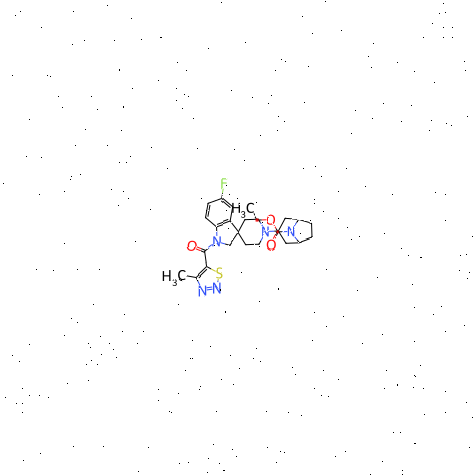 CCOC(=O)N1C2CCC1CC(N1CCC3(CC1)CN(C(=O)c1snnc1C)c1ccc(F)cc13)C2